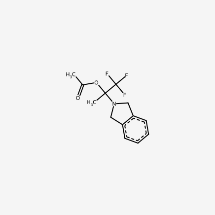 CC(=O)OC(C)(N1Cc2ccccc2C1)C(F)(F)F